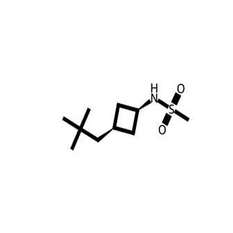 CC(C)(C)C[C@H]1C[C@@H](NS(C)(=O)=O)C1